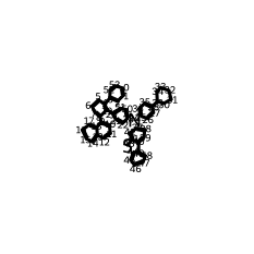 c1ccc(-c2cccc(-c3cccc4ccccc34)c2-c2ccc(N(c3ccc(C4CCCCC4)cc3)c3ccc4c(c3)sc3ccccc34)cc2)cc1